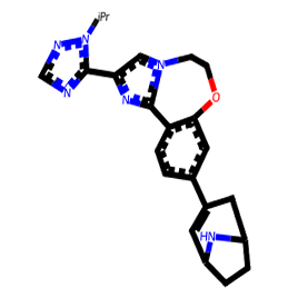 CC(C)n1ncnc1-c1cn2c(n1)-c1ccc(C3=CC4CCC(C3)N4)cc1OCC2